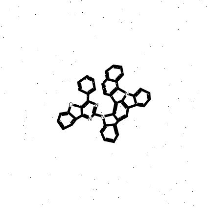 c1ccc(-c2nc(-n3c4ccccc4c4cc5c6ccccc6n6c7c8ccccc8ccc7c(c43)c56)nc3c2oc2ccccc23)cc1